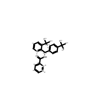 O=C(N[C@@H](c1ccc(C(F)(F)F)cc1)c1ncccc1C(F)(F)F)c1cccnn1